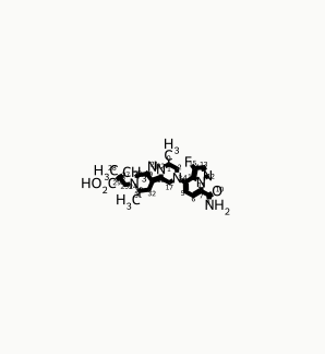 C[C@@H]1CN(c2ccc(C(N)=O)n3ncc(F)c23)Cc2c3c(nn21)CN(CC(C)(C)C(=O)O)[C@@H](C)C3